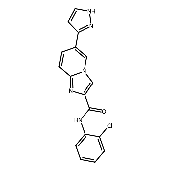 O=C(Nc1ccccc1Cl)c1cn2cc(-c3cc[nH]n3)ccc2n1